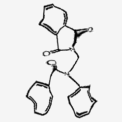 O=C1c2ccccc2C(=O)N1CN(C(=O)c1ccccc1)c1ccccc1